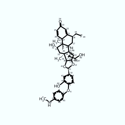 CNc1ccc(Oc2ccc([C@@H]3O[C@@H]4CC5[C@@H]6C[C@H](CF)C7=CC(=O)C=C[C@]7(C)[C@@]6(F)[C@@H](O)C[C@]5(C)[C@]4(C(=O)CO)O3)cc2O)cc1